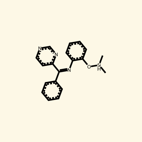 C[SiH](C)Oc1ccccc1N=C(c1ccccc1)c1ccncn1